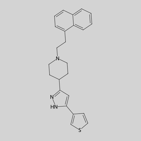 c1ccc2c(CCN3CCC(c4cc(-c5ccsc5)[nH]n4)CC3)cccc2c1